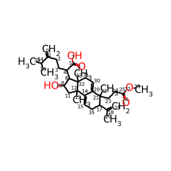 C=C(CCC(C(=O)O)C1C(O)CC2(C)C3=CCC(C(=C)C)C(C)(CCC(=O)OC)C3=CCC12C)C(C)C